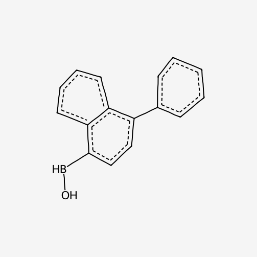 OBc1ccc(-c2ccccc2)c2ccccc12